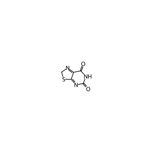 O=C1N=C2SCN=C2C(=O)N1